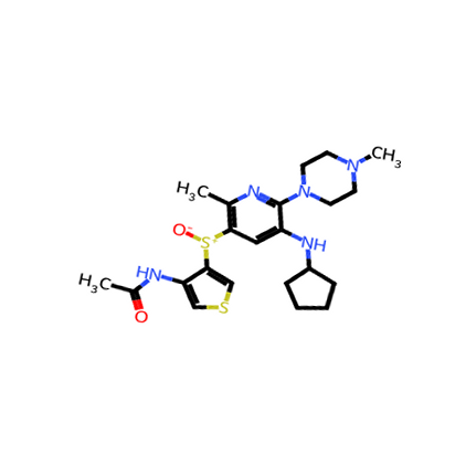 CC(=O)Nc1cscc1[S+]([O-])c1cc(NC2CCCC2)c(N2CCN(C)CC2)nc1C